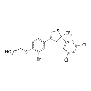 O=C(O)CSc1ccc(C2=CSC(c3cc(Cl)cc(Cl)c3)(C(F)(F)F)C2)cc1Br